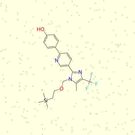 Cc1c(C(F)(F)F)nc(-c2ccc(-c3ccc(O)cc3)nc2)n1COCC[Si](C)(C)C